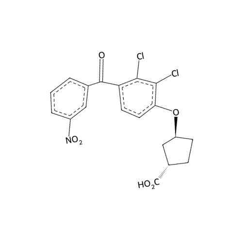 O=C(c1cccc([N+](=O)[O-])c1)c1ccc(O[C@H]2CC[C@H](C(=O)O)C2)c(Cl)c1Cl